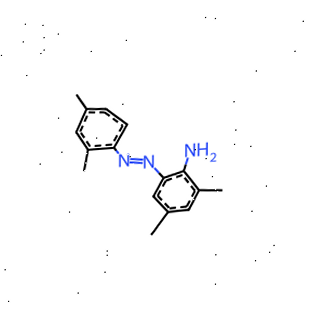 Cc1ccc(N=Nc2cc(C)cc(C)c2N)c(C)c1